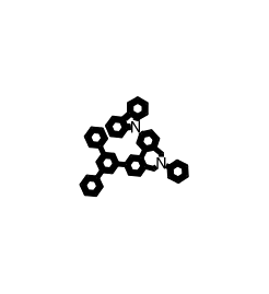 c1ccc(-c2cc(-c3ccccc3)cc(-c3ccc4c(c3)-c3cc(-n5c6ccccc6c6ccccc65)ccc3CN(c3ccccc3)C4)c2)cc1